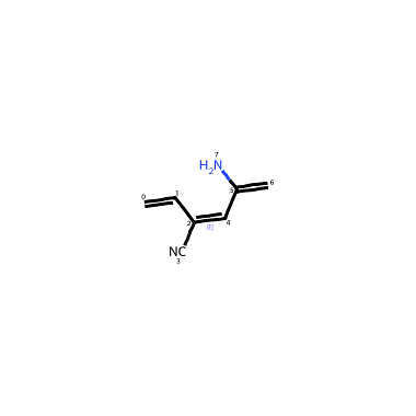 C=C/C(C#N)=C\C(=C)N